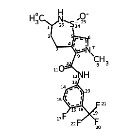 CC1CCc2c(cn(C)c2C(=O)Nc2ccc(F)c(C(F)(F)F)c2)[S+]([O-])N1